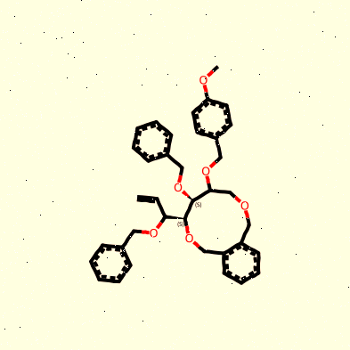 C=CC(OCc1ccccc1)[C@@H]1OCc2ccccc2COCC(OCc2ccc(OC)cc2)[C@@H]1OCc1ccccc1